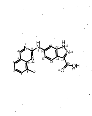 Cc1cccc2cnc(Nc3ccc4c(C(=O)O)n[nH]c4c3)nc12